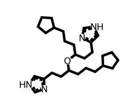 c1nc(CCC(CCCC2CCCC2)OC(CCCC2CCCC2)CCc2c[nH]cn2)c[nH]1